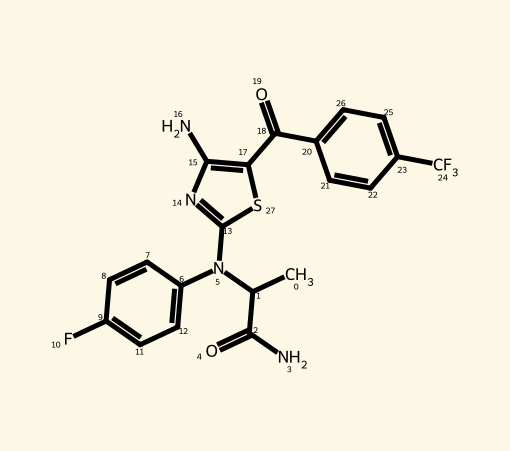 CC(C(N)=O)N(c1ccc(F)cc1)c1nc(N)c(C(=O)c2ccc(C(F)(F)F)cc2)s1